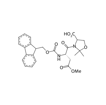 COC(=O)C[C@H](NC(=O)OCC1c2ccccc2-c2ccccc21)C(=O)N1C(C(=O)O)COC1(C)C